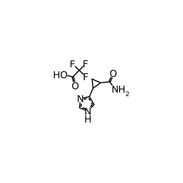 NC(=O)C1CC1c1c[nH]cn1.O=C(O)C(F)(F)F